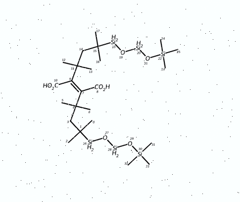 CC(C)(CC(C)(C)C(C(=O)O)=C(C(=O)O)C(C)(C)CC(C)(C)[SiH2]O[SiH2]O[Si](C)(C)C)[SiH2]O[SiH2]O[Si](C)(C)C